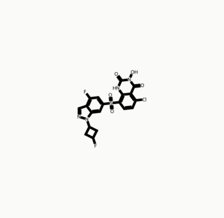 O=c1[nH]c2c(S(=O)(=O)c3cc(F)c4cnn(C5CC(F)C5)c4c3)ccc(Cl)c2c(=O)n1O